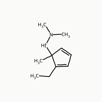 CCC1=CC=C[C]1(C)[Hf][N](C)C